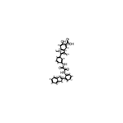 Cn1c(-c2cccc(NC(=O)C(=O)Nc3ccccc3C3=Nc4ccccc4C3)c2)c(I)c2cc(C(=O)O)c(O)cc21